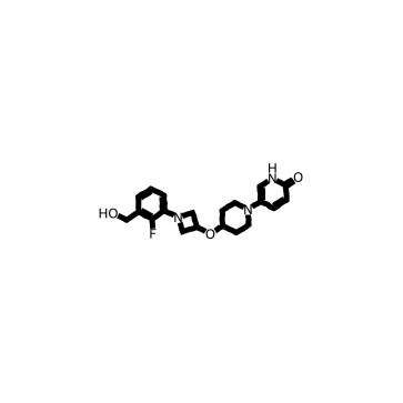 O=c1ccc(N2CCC(OC3CN(c4cccc(CO)c4F)C3)CC2)c[nH]1